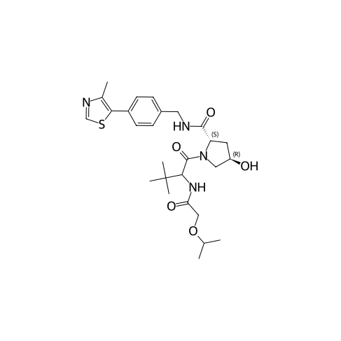 Cc1ncsc1-c1ccc(CNC(=O)[C@@H]2C[C@@H](O)CN2C(=O)C(NC(=O)COC(C)C)C(C)(C)C)cc1